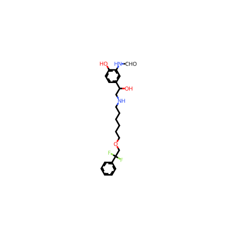 O=CNc1cc(C(O)CNCCCCCCOCC(F)(F)c2ccccc2)ccc1O